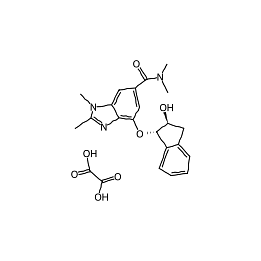 Cc1nc2c(O[C@H]3c4ccccc4C[C@@H]3O)cc(C(=O)N(C)C)cc2n1C.O=C(O)C(=O)O